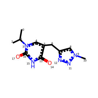 CC(C)n1cc(Cc2cn(C)nn2)c(=O)[nH]c1=O